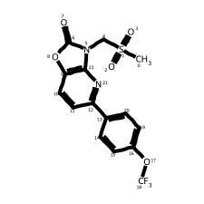 CS(=O)(=O)Cn1c(=O)oc2ccc(-c3ccc(OC(F)(F)F)cc3)nc21